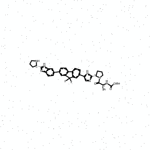 COC(=O)N[C@H](C(=O)N1CCC[C@H]1c1ncc(-c2ccc3c(c2)C(F)(F)c2cc(-c4ccc5nc([C@@H]6CCCN6)[nH]c5c4)ccc2-3)[nH]1)C(C)C